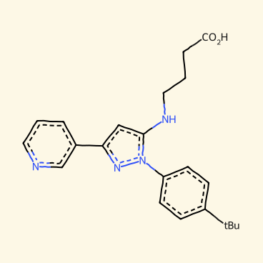 CC(C)(C)c1ccc(-n2nc(-c3cccnc3)cc2NCCCC(=O)O)cc1